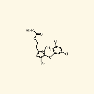 CCCCCCCCCCC(=O)OCCc1nc(C(C)C)c(Sc2cc(Cl)cc(Cl)c2)n1C